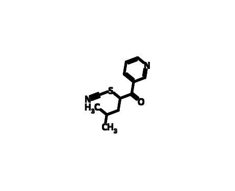 CC(C)CC(SC#N)C(=O)c1cccnc1